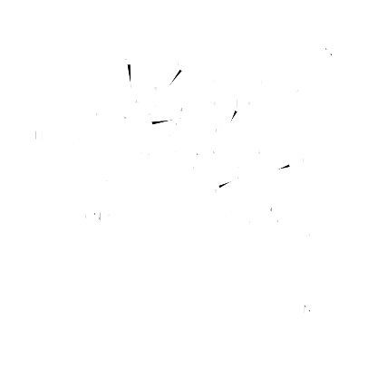 [C-]#[N+]CCO[C@@H]1CC[C@@]2(C)[C@@H](C1)C[C@@H](OCCC#N)[C@@H]1[C@@H]2C[C@H](OCC[N+]#[C-])[C@]2(C)[C@@H]([C@H](C)CCCO)CC[C@@H]12